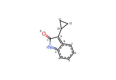 O=C1N=c2ccccc2=C1C1CC1